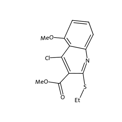 CCSc1nc2cccc(OC)c2c(Cl)c1C(=O)OC